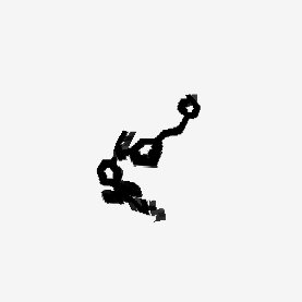 NS(=O)(=O)c1cccc(Nc2cccc(C=Cc3ccncc3)c2)c1